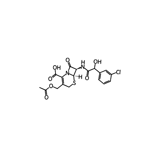 CC(=O)OCC1=C(C(=O)O)N2C(=O)[C@@H](NC(=O)C(O)c3cccc(Cl)c3)[C@H]2SC1